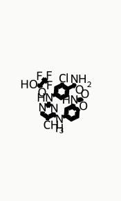 Cc1cnc(Nc2ccc(C(N)=O)c(Cl)c2)nc1Nc1ccc2oc(=O)[nH]c2c1.O=C(O)C(F)(F)F